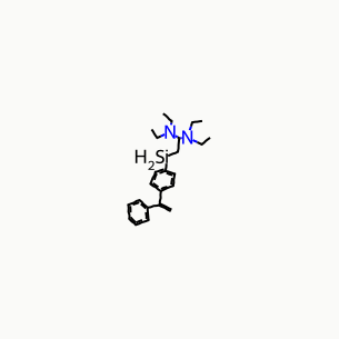 C=C(c1ccccc1)c1ccc([SiH2]CC(N(CC)CC)N(CC)CC)cc1